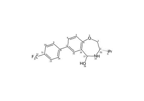 CC(C)[C@H]1COc2ccc(-c3ccc(C(F)(F)F)cc3)cc2C(O)N1